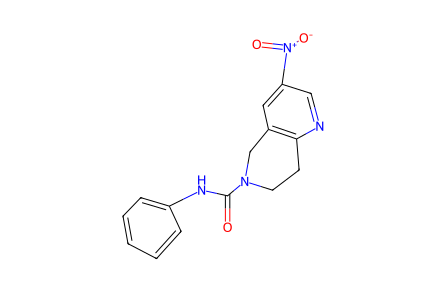 O=C(Nc1ccccc1)N1CCc2ncc([N+](=O)[O-])cc2C1